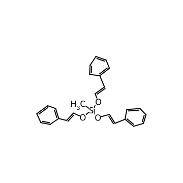 C[Si](OC=Cc1ccccc1)(OC=Cc1ccccc1)OC=Cc1ccccc1